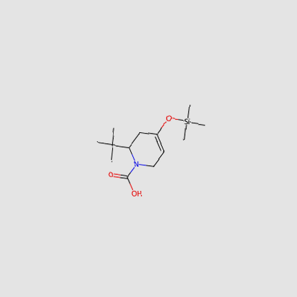 CC(C)(C)C1CC(O[Si](C)(C)C)=CCN1C(=O)O